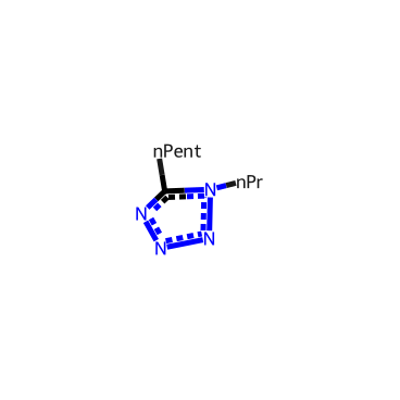 CCCCCc1nnnn1CCC